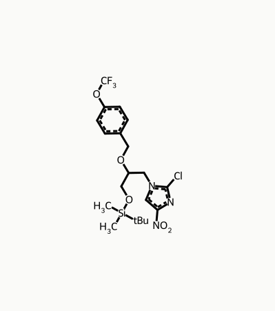 CC(C)(C)[Si](C)(C)OCC(Cn1cc([N+](=O)[O-])nc1Cl)OCc1ccc(OC(F)(F)F)cc1